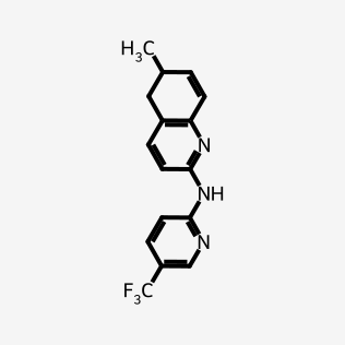 CC1C=Cc2nc(Nc3ccc(C(F)(F)F)cn3)ccc2C1